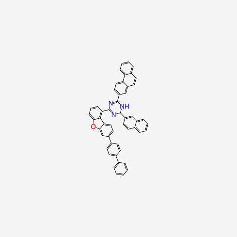 c1ccc(-c2ccc(-c3ccc4c(c3)oc3cccc(C5=NC(c6ccc7ccccc7c6)NC(c6ccc7c(ccc8ccccc87)c6)=N5)c34)cc2)cc1